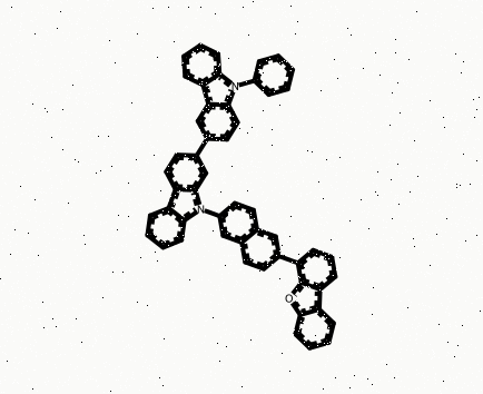 c1ccc(-n2c3ccccc3c3cc(-c4ccc5c6ccccc6n(-c6ccc7cc(-c8cccc9c8oc8ccccc89)ccc7c6)c5c4)ccc32)cc1